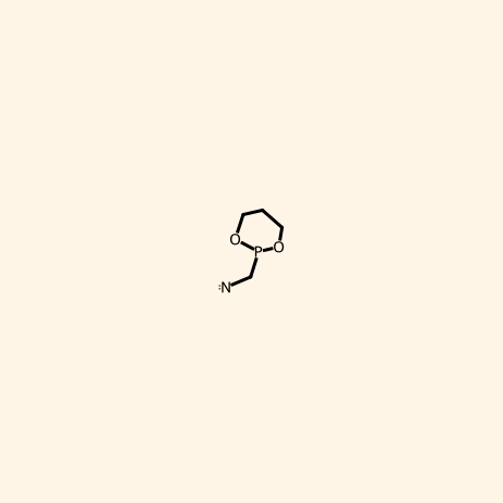 [N]CP1OCCCO1